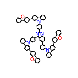 c1cc(-c2ccc3nc(-c4ccc(-n5c6ccccc6c6ccc(-c7ccc8c(c7)oc7ccccc78)cc65)cc4)nc(-c4ccc(-n5c6ccccc6c6ccc(-c7ccc8c(c7)oc7ccccc78)cc65)cc4)c3c2)cc(-n2c3ccccc3c3ccc(-c4ccc5c(c4)oc4ccccc45)cc32)c1